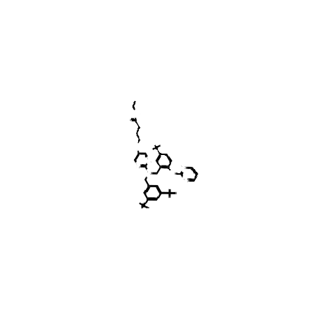 CCOC(=O)CCCOc1cnc(N(Cc2cc(C(F)(F)F)cc(C(F)(F)F)c2)Cc2cc(C(F)(F)F)ccc2Oc2ncccn2)nc1